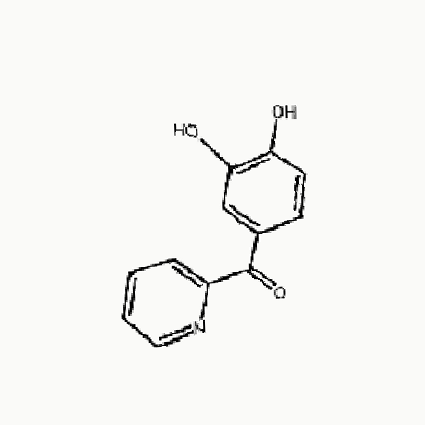 O=C(c1ccc(O)c(O)c1)c1ccccn1